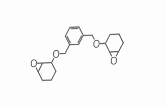 c1cc(COC2CCCC3OC23)cc(COC2CCCC3OC23)c1